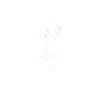 CCc1nc2cccc3c2n1-c1ccc(-c2cccc(-c4c5ccccc5c(-c5ccccc5)c5ccccc45)c2)cc1P3(=O)c1ccccc1